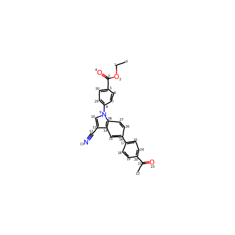 CCOC(=O)c1ccc(-n2cc(C#N)c3cc(-c4ccc(C(C)=O)cc4)ccc32)cc1